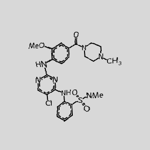 CNS(=O)(=O)c1ccccc1Nc1nc(Nc2ccc(C(=O)N3CCN(C)CC3)cc2OC)ncc1Cl